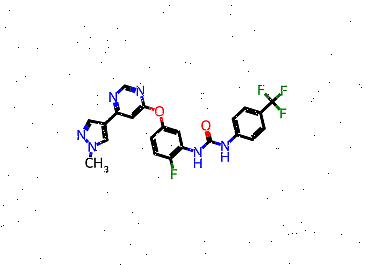 Cn1cc(-c2cc(Oc3ccc(F)c(NC(=O)Nc4ccc(C(F)(F)F)cc4)c3)ncn2)cn1